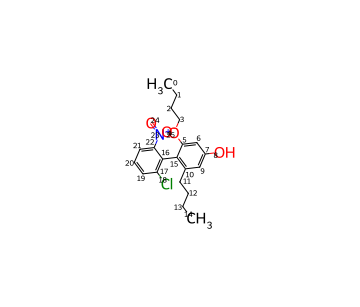 CCCCOc1cc(O)cc(CCCC)c1-c1c(Cl)cccc1[N+](=O)[O-]